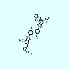 Cc1c(-c2nc3cc(CN4CCC[C@H]4C(=O)O)c(OC(F)F)cc3o2)cccc1-c1cccc(-c2nc3cc(CN4CCC4C)cc(C#N)c3o2)c1C